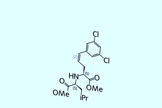 COC(=O)[C@H](C/C=C\c1cc(Cl)cc(Cl)c1)N[C@@H](CC(C)C)C(=O)OC